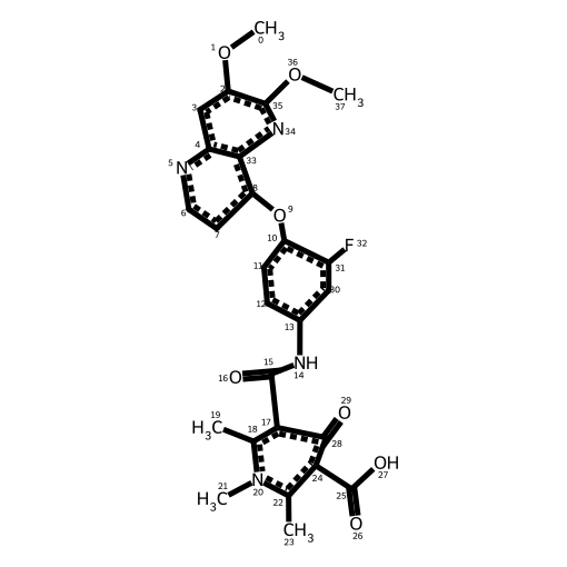 COc1cc2nccc(Oc3ccc(NC(=O)c4c(C)n(C)c(C)c(C(=O)O)c4=O)cc3F)c2nc1OC